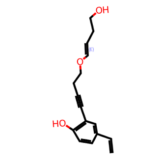 C=Cc1ccc(O)c(C#CCCO/C=C/CCO)c1